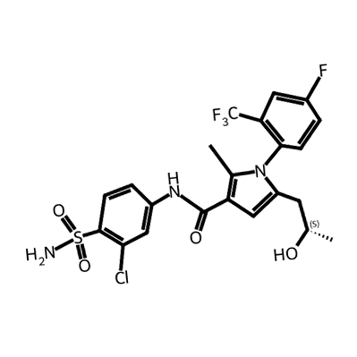 Cc1c(C(=O)Nc2ccc(S(N)(=O)=O)c(Cl)c2)cc(C[C@H](C)O)n1-c1ccc(F)cc1C(F)(F)F